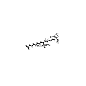 CCO[Si](CCCNC[SiH2]C(CCCCCCCN(C)C)[Si](C)(OC)OC)(OCC)OCC